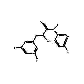 CN(C(=O)C(N)Cc1cc(F)cc(F)c1)c1ccc(Cl)cc1